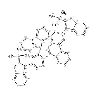 C[Si](C)(C)C1Cc2ccccc2N1c1ccc2c(c1)C(c1ccccc1)(c1ccccc1)c1c-2c2ccccc2c2cc(N3c4ccccc4CC3[Si](C)(C)C)ccc12